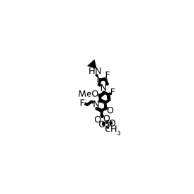 COc1c(N2C[C@@H](CNC3CC3)[C@H](F)C2)c(F)cc2c(=O)c(C(=O)OS(C)(=O)=O)cn(CCF)c12